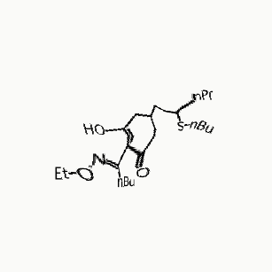 CCCCSC(CCC)CC1CC(=O)C(/C(CCCC)=N/OCC)=C(O)C1